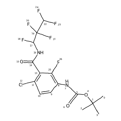 CC(C)(C)OC(=O)Nc1ccc(Cl)c(C(=O)NC(F)C(F)(F)C(F)F)c1F